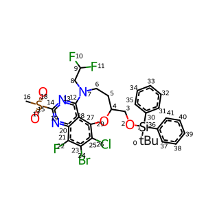 CC(C)(C)[Si](OCC1CCN(CC(F)F)c2nc(S(C)(=O)=O)nc3c(F)c(Br)c(Cl)c(c23)O1)(c1ccccc1)c1ccccc1